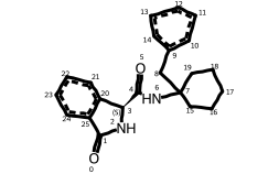 O=C1N[C@H](C(=O)NC2(Cc3ccccc3)CCCCC2)c2ccccc21